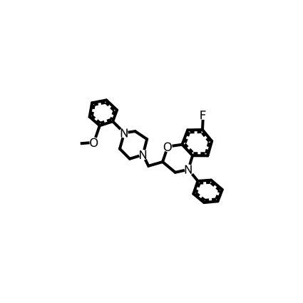 COc1ccccc1N1CCN(CC2CN(c3ccccc3)c3ccc(F)cc3O2)CC1